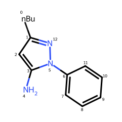 CCCCc1cc(N)n(-c2ccccc2)n1